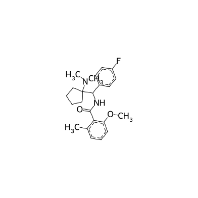 COc1cccc(C)c1C(=O)NC(c1ccc(F)cc1)C1(N(C)C)CCCC1